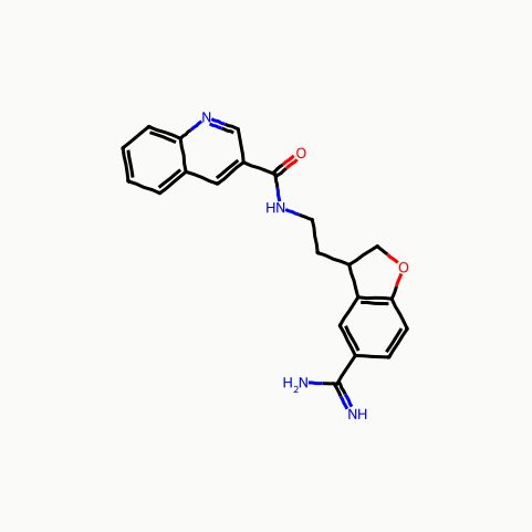 N=C(N)c1ccc2c(c1)C(CCNC(=O)c1cnc3ccccc3c1)CO2